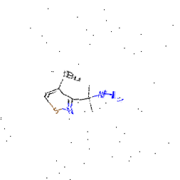 CC(C)(C)c1csnc1C(C)(C)N